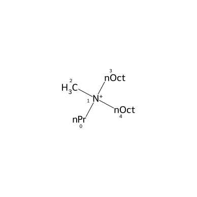 [CH2]CC[N+](C)(CCCCCCCC)CCCCCCCC